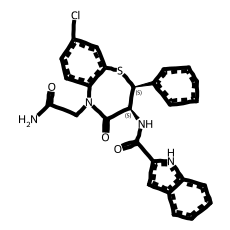 NC(=O)CN1C(=O)[C@H](NC(=O)c2cc3ccccc3[nH]2)[C@H](c2ccccc2)Sc2cc(Cl)ccc21